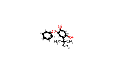 CC(C)(C)c1cc(Oc2ccccc2)c(O)cc1O